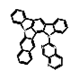 c1ccc2cc3c(cc2c1)c1c2c(cc4c5ccccc5n3c41)c1ccccc1n2-c1ncc2ncccc2n1